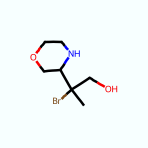 CC(Br)(CO)C1COCCN1